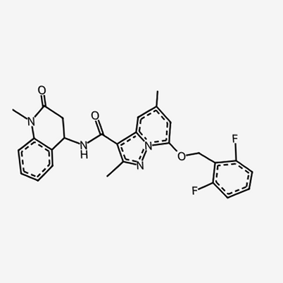 Cc1cc(OCc2c(F)cccc2F)n2nc(C)c(C(=O)NC3CC(=O)N(C)c4ccccc43)c2c1